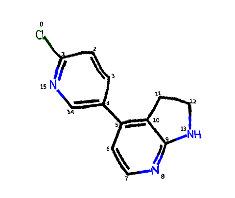 Clc1ccc(-c2ccnc3c2CCN3)cn1